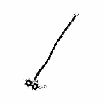 C#CC#CC#CC#CC#CC#CC#CC#CC#CC#CC#CC#CC#CC#CC#CC#C[SiH]1c2ccccc2-c2ccc(C=O)cc21